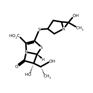 C[C@@H](O)[C@@]1(O)C(=O)N2C(C(=O)O)=C(SC3CC4N(C3)C4(C)O)S[C@@H]21